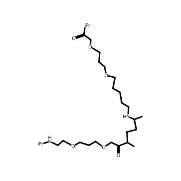 CC(C)NCCOCCCOCC(=O)C(C)CCC(C)NCCCCCOCCCOCC(=O)C(C)C